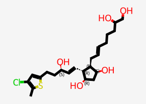 Cc1sc(CC[C@H](O)C=C[C@@H]2[C@@H](CC=CCCCC(O)CO)[C@@H](O)C[C@H]2O)cc1Cl